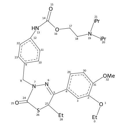 CCOc1cc(C2=NN(Cc3ccc(NC(=O)OCCN(C(C)C)C(C)C)cc3)C(=O)SC2CC)ccc1OC